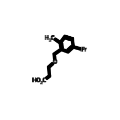 Cc1ccc(C(C)C)cc1COCCC(=O)O